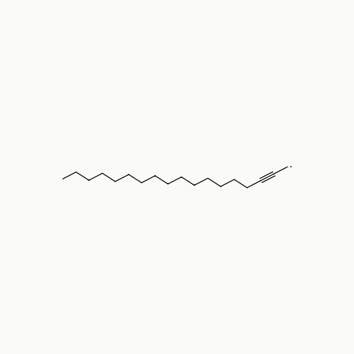 [CH2]C#CCCCCCCCCCCCCCCC